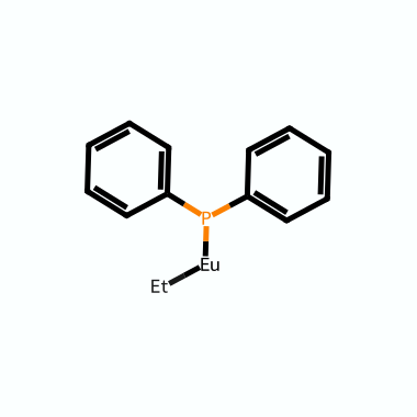 C[CH2][Eu][P](c1ccccc1)c1ccccc1